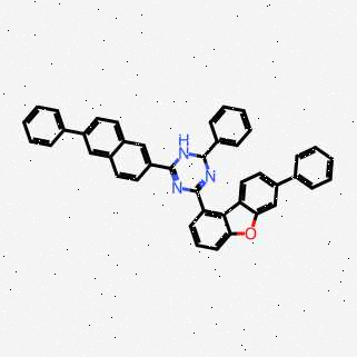 c1ccc(-c2ccc3cc(C4=NC(c5cccc6oc7cc(-c8ccccc8)ccc7c56)=NC(c5ccccc5)N4)ccc3c2)cc1